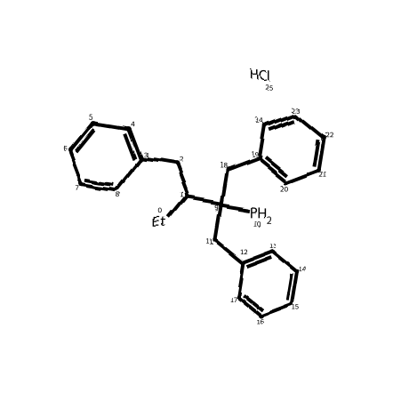 CCC(Cc1ccccc1)C(P)(Cc1ccccc1)Cc1ccccc1.Cl